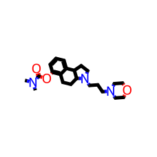 CN(C)C(=O)Oc1cccc2c1CCC1C2CCN1CCCN1CCOCC1